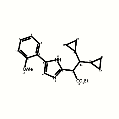 CCOC(=O)C(c1ncc(-c2ccccc2OC)[nH]1)C(C1CC1)C1CC1